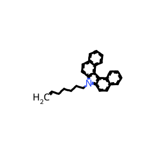 C=CCCCCCn1c2ccc3ccccc3c2c2c3ccccc3ccc21